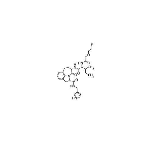 CC[C@H](C)[C@H](NC(=O)COCCF)C(=O)N[C@H]1CCc2cccc3c2N(C1=O)[C@H](C(=O)NCc1cc[nH]c1)C3